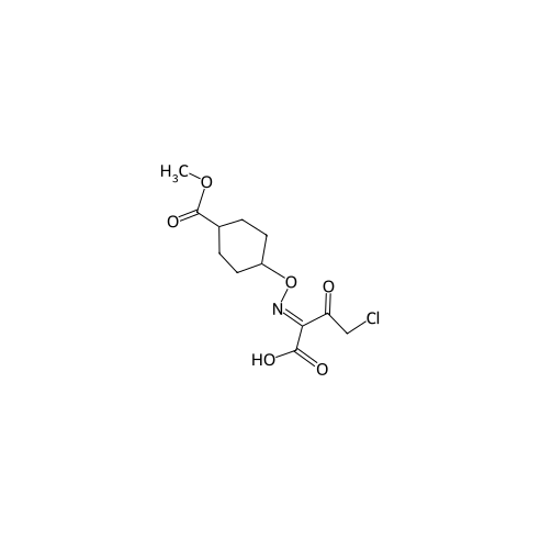 COC(=O)C1CCC(O/N=C(/C(=O)O)C(=O)CCl)CC1